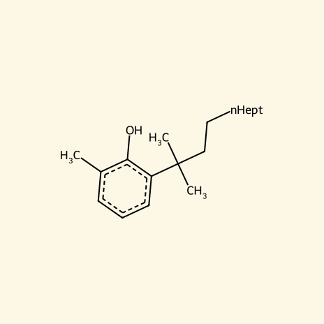 CCCCCCCCCC(C)(C)c1cccc(C)c1O